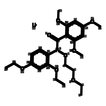 CCOCCOP(C(=O)c1c(OC)cc(OC)cc1OC)c1ccc(OCC)cc1OCC.[Li]